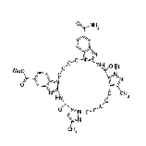 CCn1nc(C)c2c1C(=O)Nc1nc3cc(C(N)=O)ccc3n1CCCCn1c(nc3cc(C(=O)OC)ccc31)NC(=O)c1cc(C)nn1CCCCC2